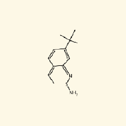 C/C=C1/C=CC(C(C)(C)C)=C/C1=N/SN